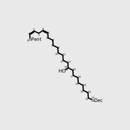 CCCCC/C=C\C/C=C\CCCCCCCCC(O)CCCCCCCCCCCCCCCCCC